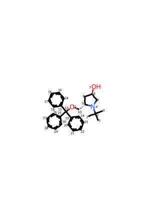 CC(C)(C)N1C[C@H](O)C[C@H]1COC(c1ccccc1)(c1ccccc1)c1ccccc1